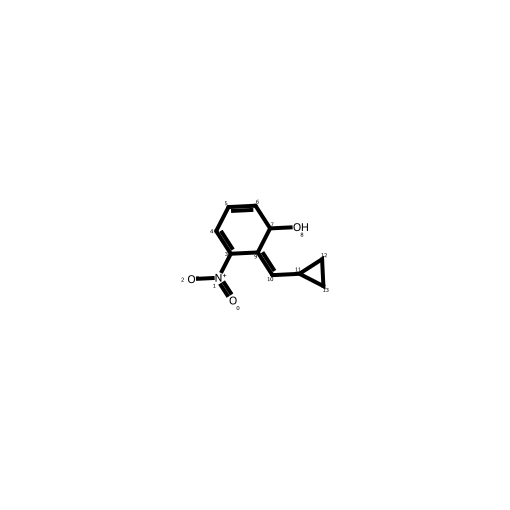 O=[N+]([O-])C1=CC=CC(O)C1=CC1CC1